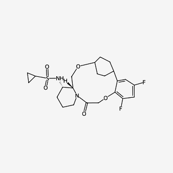 O=C1COc2c(F)cc(F)cc2C2CCC(CC2)OC[C@H]2[C@@H](NS(=O)(=O)C3CC3)CCCN12